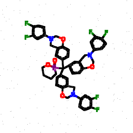 O=P1(C(c2ccc3c(c2)CN(c2ccc(F)c(F)c2)CO3)(c2ccc3c(c2)CN(c2ccc(F)c(F)c2)CO3)c2ccc3c(c2)CN(c2ccc(F)c(F)c2)CO3)CCCCO1